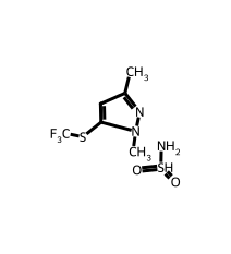 Cc1cc(SC(F)(F)F)n(C)n1.N[SH](=O)=O